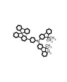 CC1(C)c2ccccc2-c2ccc(N(c3ccc(-c4ccc5c(c4)C4(c6ccccc6-c6ccccc64)c4ccccc4-5)cc3)c3ccc4c(c3)C(C)(C)c3ccccc3-4)cc21